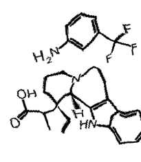 CC[C@@]1(C(C)C(=O)O)CCCN2CCc3c([nH]c4ccccc34)[C@@H]21.Nc1cccc(C(F)(F)F)c1